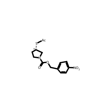 CC(=O)S[C@H]1CCN(C(=O)OCc2ccc([N+](=O)[O-])cc2)C1